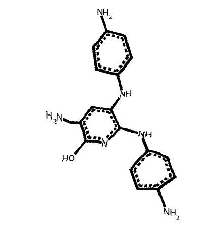 Nc1ccc(Nc2cc(N)c(O)nc2Nc2ccc(N)cc2)cc1